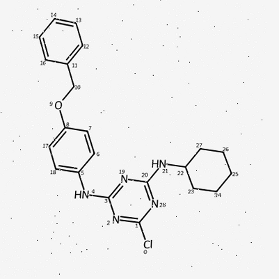 Clc1nc(Nc2ccc(OCc3ccccc3)cc2)nc(NC2CCCCC2)n1